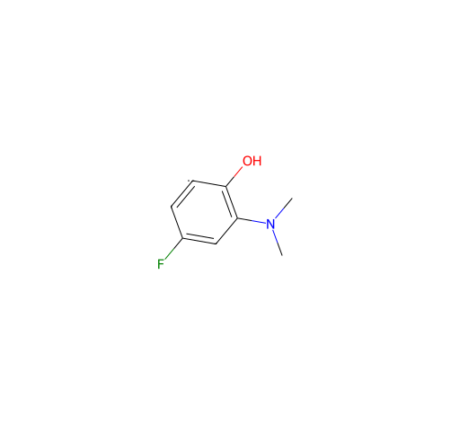 CN(C)c1cc(F)c[c]c1O